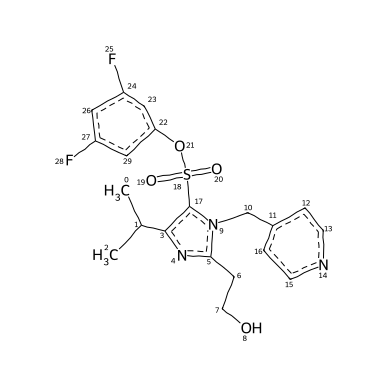 CC(C)c1nc(CCO)n(Cc2ccncc2)c1S(=O)(=O)Oc1cc(F)cc(F)c1